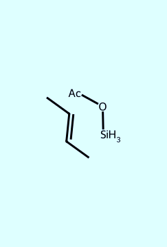 CC(=O)O[SiH3].CC=CC